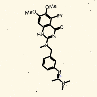 COc1cc2[nH]c(N(C)Cc3cccc(/N=C(\C)N(C)C)c3)nc(=O)c2c(C(C)C)c1OC